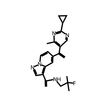 C=C(c1ccn2ncc(C(=C)NCC(C)(C)F)c2c1)c1cnc(C2CC2)nc1C